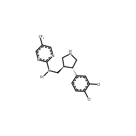 CCN(C[C@H]1CNC[C@@H]1c1ccc(Cl)c(Cl)c1)c1ncc(C(F)(F)F)cn1